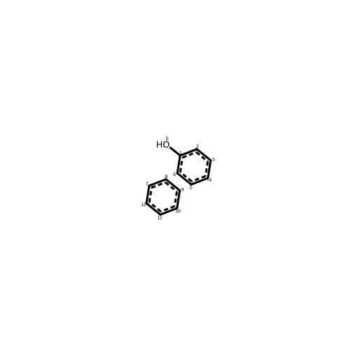 Oc1cc[c]cc1.[c]1ccccc1